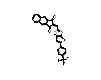 O=C1C(=Cc2nc3oc(-c4ccc(C(F)(F)F)cc4)cc3o2)C(=O)c2cc3ccccc3cc21